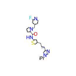 CC(C)n1cnc(/C=C/Cc2csc(NC(=O)c3cccn3Cc3ccnc(F)c3)c2)c1